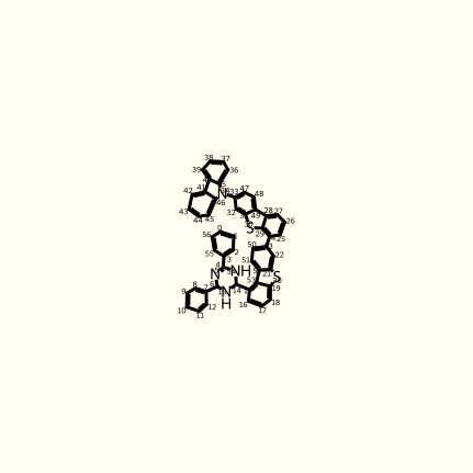 c1ccc(C2=NC(c3ccccc3)NC(c3cccc4sc5cc(-c6cccc7c6sc6cc(-n8c9ccccc9c9ccccc98)ccc67)ccc5c34)N2)cc1